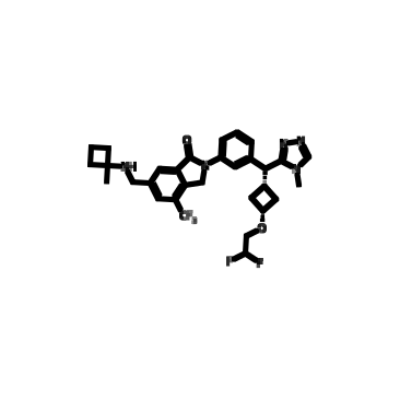 Cn1cnnc1C(c1cccc(N2Cc3c(cc(CNC4(C)CCC4)cc3C(F)(F)F)C2=O)c1)[C@H]1C[C@@H](OCC(F)F)C1